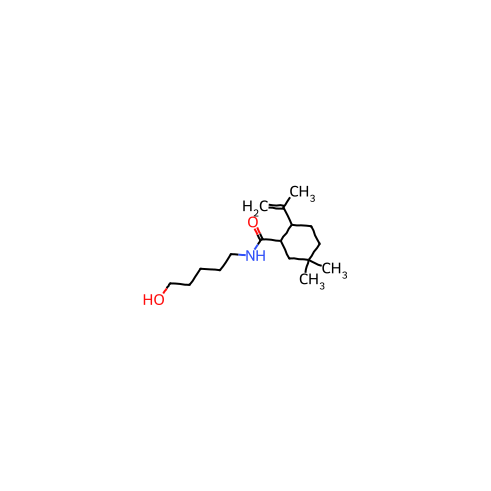 C=C(C)C1CCC(C)(C)CC1C(=O)NCCCCCO